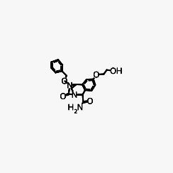 NC(=O)C1c2ccc(OCCO)cc2C2CN1C(=O)N2OCc1ccccc1